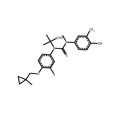 CN(C(=S)N(c1ccc(OCC2(C)CC2)c(F)c1)C(C)(C)C=O)c1ccc(C#N)c(C(F)(F)F)c1